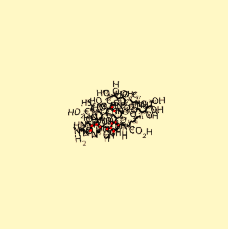 Nc1nc2ncc(CNc3ccc(C(=O)N[C@@H](CCC(=O)C[C@H](C(=O)N[C@@H](CC(=O)O)C(=O)C[C@H](C(=O)N[C@@H](CC(=O)O)C(=O)C[C@H](C(=O)N[C@@H](CC(=O)O)C(=O)C[C@H](C(=O)N[C@@H](CS)C(=O)O)[C@@H](O)[C@H](O)[C@H](O)CO)[C@@H](O)[C@H](O)[C@H](O)CO)[C@@H](O)[C@H](O)[C@H](O)CO)[C@@H](O)[C@H](O)[C@H](O)CO)C(=O)O)cc3)nc2c(=O)[nH]1